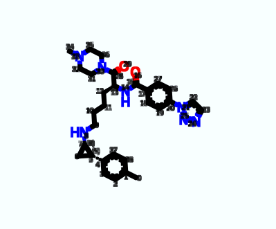 Cc1ccc([C@@H]2C[C@H]2NCCCC[C@H](NC(=O)c2ccc(-n3ccnn3)cc2)C(=O)N2CCN(C)CC2)cc1